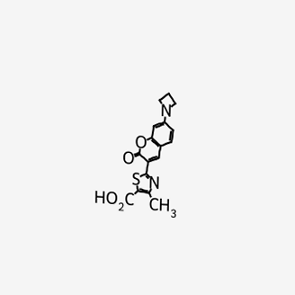 Cc1nc(-c2cc3ccc(N4CCC4)cc3oc2=O)sc1C(=O)O